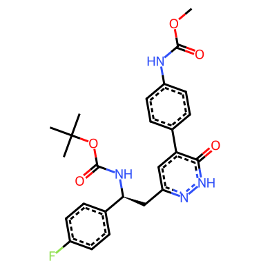 COC(=O)Nc1ccc(-c2cc(C[C@H](NC(=O)OC(C)(C)C)c3ccc(F)cc3)n[nH]c2=O)cc1